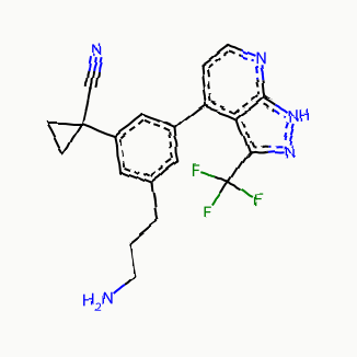 N#CC1(c2cc(CCCN)cc(-c3ccnc4[nH]nc(C(F)(F)F)c34)c2)CC1